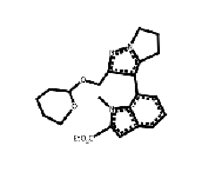 CCOC(=O)c1cc2cccc(-c3c(COC4CCCCO4)nn4c3CCC4)c2n1C